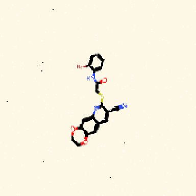 N#Cc1cc2cc3c(cc2nc1SCC(=O)Nc1ccccc1Br)OCCO3